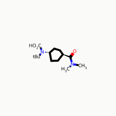 CN(C)C(=O)[C@H]1CC[C@H](N(C(=O)O)C(C)(C)C)CC1